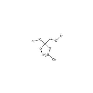 CCOCC(OCC)(OCC)O[SiH2]O